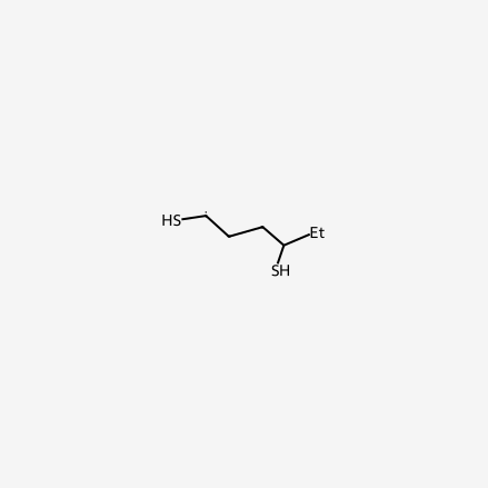 CCC(S)CC[CH]S